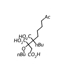 CCCCOC(CC(=O)O)(C(=O)O)C(CCCC)(CCCCC(C)=O)C(=O)O